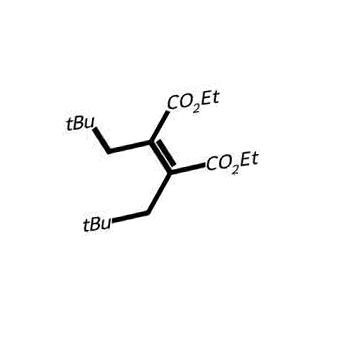 CCOC(=O)/C(CC(C)(C)C)=C(/CC(C)(C)C)C(=O)OCC